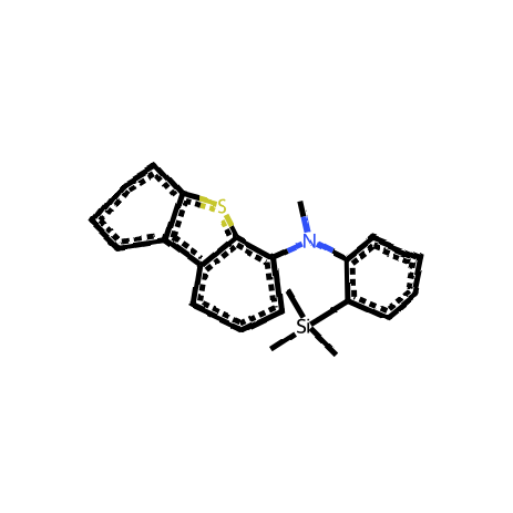 CN(c1ccccc1[Si](C)(C)C)c1cccc2c1sc1ccccc12